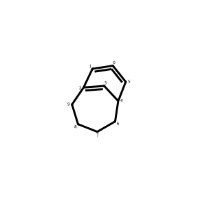 C1=CC2=CC(C=1)CCCC2